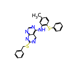 Cc1ccc(Sc2ccccc2)c(Nc2ncnc3nc(SCc4ccccc4)ncc23)c1